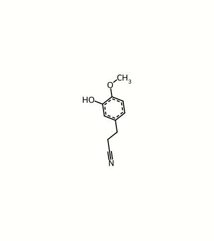 COc1ccc(CCC#N)cc1O